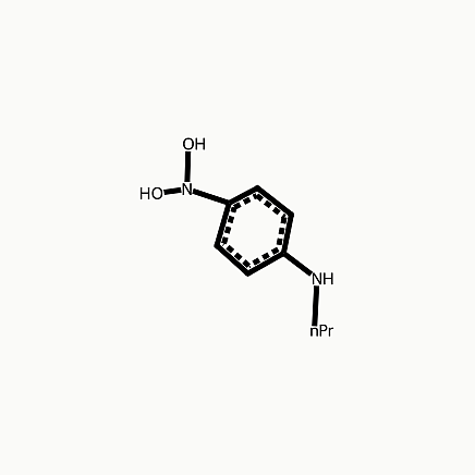 CCCNc1ccc(N(O)O)cc1